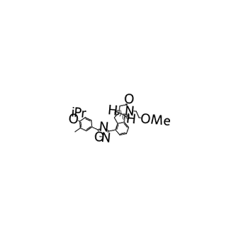 COCCN1C(=O)C[C@@H]2Cc3c(-c4noc(-c5ccc(OC(C)C)c(C)c5)n4)cccc3[C@@H]21